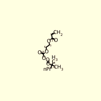 C=CC(=O)OCCOC(=O)OOOC(C)(C)CCC